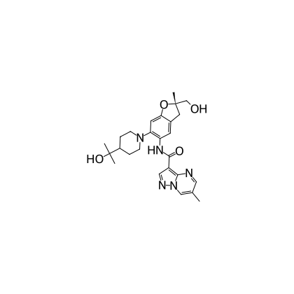 Cc1cnc2c(C(=O)Nc3cc4c(cc3N3CCC(C(C)(C)O)CC3)O[C@](C)(CO)C4)cnn2c1